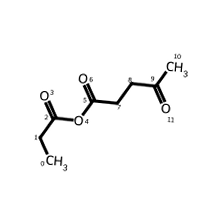 CCC(=O)OC(=O)CCC(C)=O